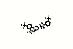 CC(C)([C@H]1CC(=O)N(c2ccc(C(F)(F)F)cc2S(C)(=O)=O)C1)S(=O)(=O)c1cccc(C(F)(F)F)c1